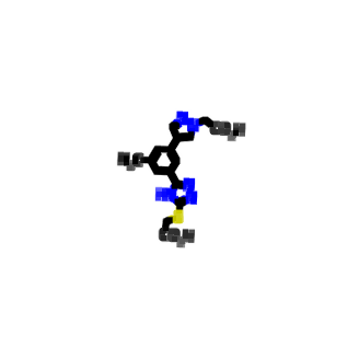 Cc1cc(-c2cnn(CC(=O)O)c2)cc(-c2nnc(SCC(=O)O)[nH]2)c1